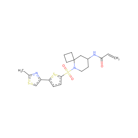 C=CC(=O)NC1CCN(S(=O)(=O)c2ccc(-c3csc(C)n3)s2)C2(CCC2)C1